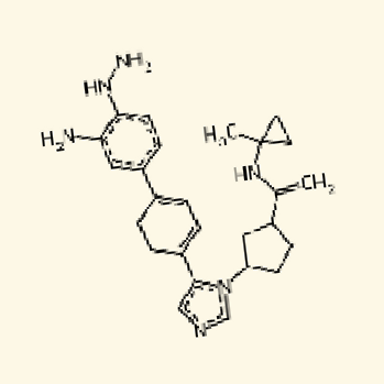 C=C(NC1(C)CC1)C1CCC(n2cncc2C2=CC=C(c3ccc(NN)c(N)c3)CC2)C1